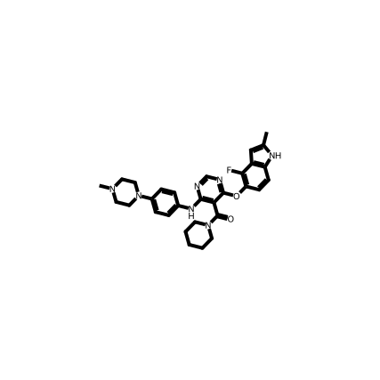 Cc1cc2c(F)c(Oc3ncnc(Nc4ccc(N5CCN(C)CC5)cc4)c3C(=O)N3CCCCC3)ccc2[nH]1